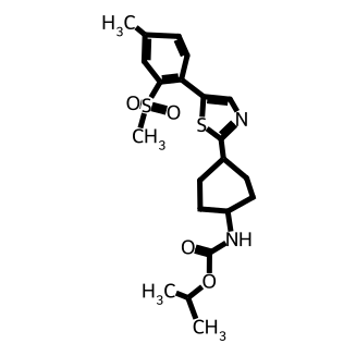 Cc1ccc(-c2cnc(C3CCC(NC(=O)OC(C)C)CC3)s2)c(S(C)(=O)=O)c1